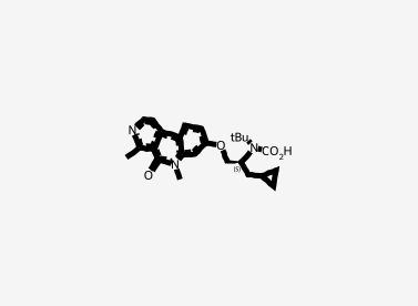 Cc1nccc2c1c(=O)n(C)c1cc(OC[C@H](CC3CC3)N(C(=O)O)C(C)(C)C)ccc21